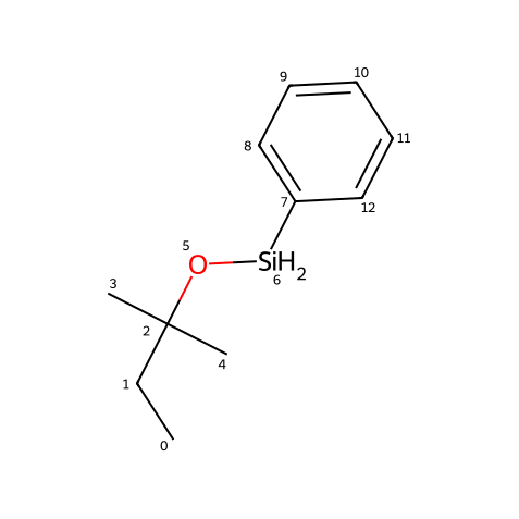 CCC(C)(C)O[SiH2]c1ccccc1